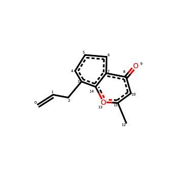 C=CCc1cccc2c(=O)cc(C)oc12